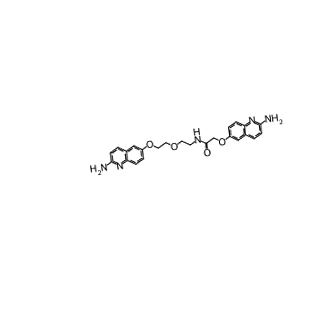 Nc1ccc2cc(OCCOCCNC(=O)COc3ccc4nc(N)ccc4c3)ccc2n1